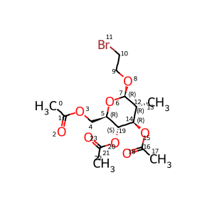 CC(=O)OC[C@H]1O[C@@H](OCCBr)[C@H](C)[C@@H](OC(C)=O)[C@@H]1OC(C)=O